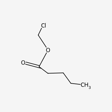 CCCCC(=O)OCCl